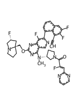 C#Cc1c(F)c(F)cc2cccc(-c3ncc4c(N(C)[C@@H]5CCN(C(=O)/C(F)=C/c6ncccn6)C5)nc(OC[C@@]56CCCN5C[C@H](F)C6)nc4c3F)c12